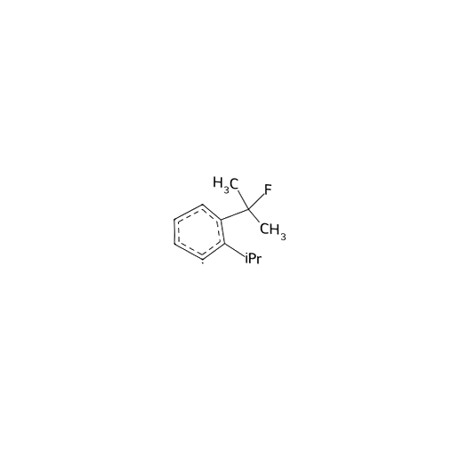 CC(C)c1[c]cccc1C(C)(C)F